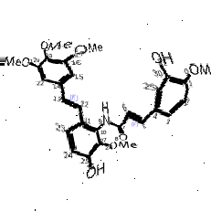 COc1ccc(/C=C/C(=O)Nc2c(/C=C/c3cc(OC)c(OC)c(OC)c3)ccc(O)c2OC)cc1O